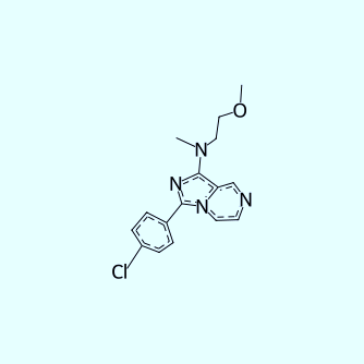 COCCN(C)c1nc(-c2ccc(Cl)cc2)n2ccncc12